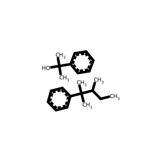 CC(C)(O)c1ccccc1.CCC(C)C(C)(C)c1ccccc1